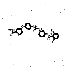 CNC(=O)c1cc(Oc2ccc(NC(=O)Nc3cccc(NC(=O)c4c(F)cccc4F)c3)cc2)ccn1